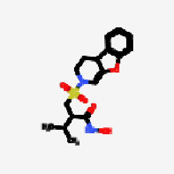 CC(C)C(CS(=O)(=O)N1C=C2Oc3ccccc3C2CC1)C(=O)NO